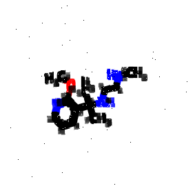 CNCCNC(C)(C)c1cccnc1OC